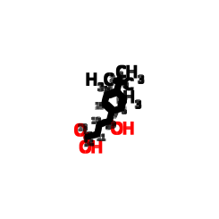 CC(C)(C)c1ccc(C(O)CCC(=O)O)cc1